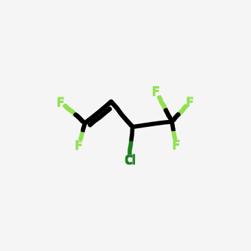 FC(F)=CC(Cl)C(F)(F)F